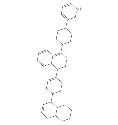 C1=CNCC(C2CCC(C3=C4C=CC=CC4C(C4=CCC(C5C=CCC6CCCCC65)CC4)CC3)CC2)=C1